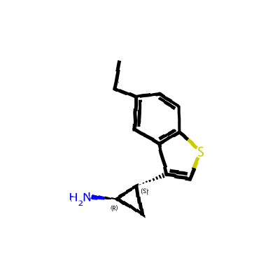 CCc1ccc2scc([C@@H]3C[C@H]3N)c2c1